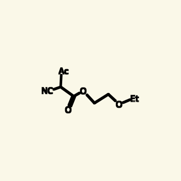 CCOCCOC(=O)C(C#N)C(C)=O